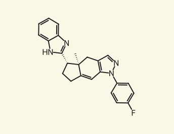 C[C@]12Cc3cnn(-c4ccc(F)cc4)c3C=C1CC[C@@H]2c1nc2ccccc2[nH]1